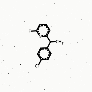 CC(c1ccc(Cl)cc1)c1cccc(F)n1